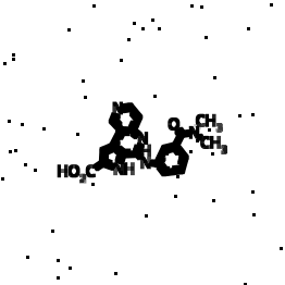 CN(C)C(=O)c1cccc(Nc2nc3ccncc3c3cc(C(=O)O)[nH]c23)c1